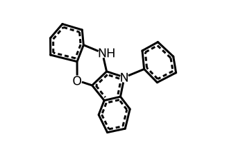 c1ccc(-n2c3c(c4ccccc42)Oc2ccccc2N3)cc1